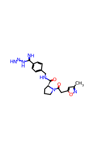 Cc1cc(CC(=O)N2CCC[C@H]2C(=O)NCc2ccc(C(=N)NN=N)cc2)on1